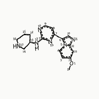 COc1ccn2c(-c3ccnc(N[C@@H]4CCCNC4)n3)cnc2c1